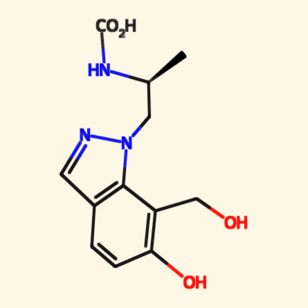 C[C@@H](Cn1ncc2ccc(O)c(CO)c21)NC(=O)O